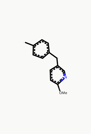 [CH2]c1ccc([CH]c2ccc(OC)nc2)cc1